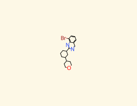 Brc1cccc2cnc(C3CCCC(C4CCOCC4)C3)nc12